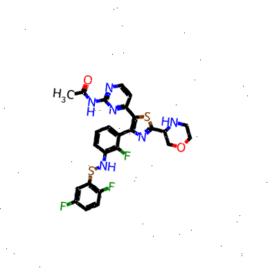 CC(=O)Nc1nccc(-c2sc(C3COCCN3)nc2-c2cccc(NSc3cc(F)ccc3F)c2F)n1